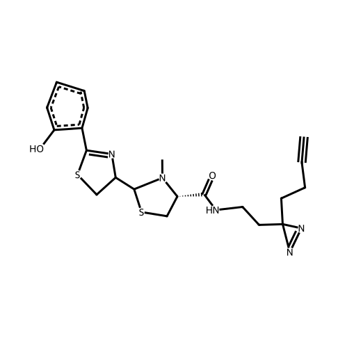 C#CCCC1(CCNC(=O)[C@@H]2CSC(C3CSC(c4ccccc4O)=N3)N2C)N=N1